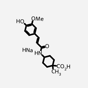 COc1cc(C=CC(=O)NC2CCC(C)(C(=O)O)CC2)ccc1O.[NaH]